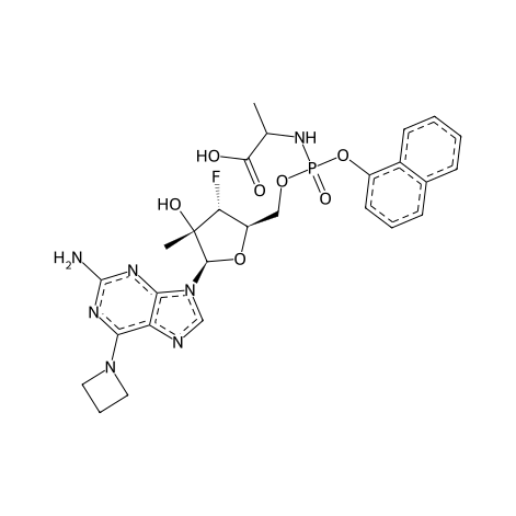 CC(NP(=O)(OC[C@H]1O[C@@H](n2cnc3c(N4CCC4)nc(N)nc32)[C@](C)(O)[C@@H]1F)Oc1cccc2ccccc12)C(=O)O